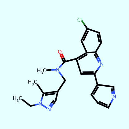 CCn1ncc(CN(C)C(=O)c2cc(-c3cccnc3)nc3ccc(Cl)cc23)c1C